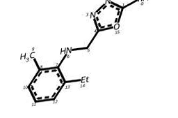 CCCc1nnc(CNc2c(C)cccc2CC)o1